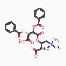 C[N+](C)(C)CC(CC(=O)[O-])OC(=O)[C@H](OC(=O)c1ccccc1)[C@@H](OC(=O)c1ccccc1)C(=O)O